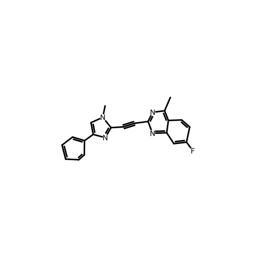 Cc1nc(C#Cc2nc(-c3ccccc3)cn2C)nc2cc(F)ccc12